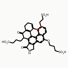 O=C(O)CCCC1C(=O)C2=C(C(OCCCS(=O)(=O)O)=CCC2)c2c1c1c(c3cc(OCCCS(=O)(=O)O)c4ccccc4c23)CNC1=O